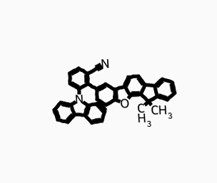 CC1(C)c2ccccc2-c2ccc3c4c(oc3c21)CCC(c1c(C#N)cccc1-n1c2c#cccc2c2ccccc21)=C4